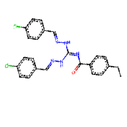 CCc1ccc(C(=O)N=C(N/N=C/c2ccc(Cl)cc2)N/N=C/c2ccc(Cl)cc2)cc1